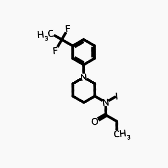 CCC(=O)N(I)C1CCCN(c2cccc(C(C)(F)F)c2)C1